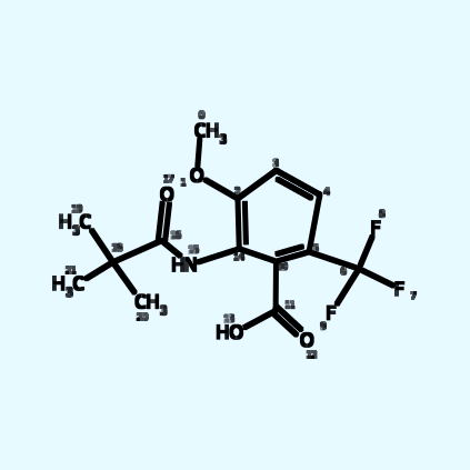 COc1ccc(C(F)(F)F)c(C(=O)O)c1NC(=O)C(C)(C)C